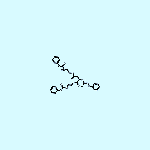 O=C(CC(NC(=O)OOc1ccccc1)C(=O)OCCNC(=O)Oc1ccccc1)OCCNC(=O)Oc1ccccc1